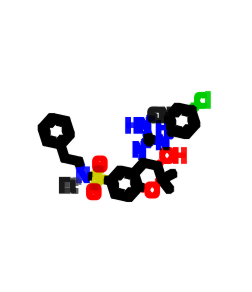 CCN(CCc1ccccc1)S(=O)(=O)c1ccc2c(c1)[C@@H](N=C(NC#N)Nc1ccc(Cl)cc1)[C@H](O)C(C)(C)O2